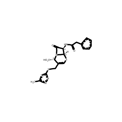 Cc1nnc(SCC2=CS[C@@H]3[C@H](NC(=O)Cc4ccccc4)C(=O)N3[C@H]2C(=O)O)s1